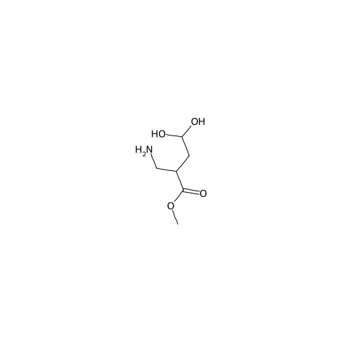 COC(=O)C(CN)CC(O)O